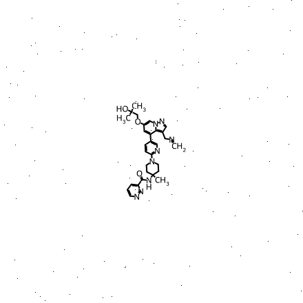 C=NCc1cnn2cc(OCC(C)(C)O)cc(-c3ccc(N4CCC(C)(NC(=O)c5cccnn5)CC4)nc3)c12